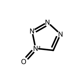 O=[N+]1C=NN=N1